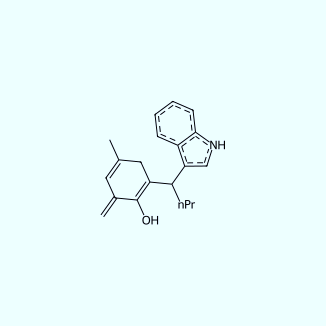 C=C1C=C(C)CC(C(CCC)c2c[nH]c3ccccc23)=C1O